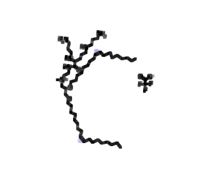 CCCCCCCC/C=C\CCCCCCCCOCC(C[N+](C)(C)CCNC(=O)C(CCCNCCCN)NCCCN)OCCCCCCCC/C=C\CCCCCCCC.O=C([O-])C(F)(F)F